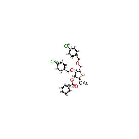 CC(=O)OC1S[C@H](COCc2ccc(Cl)cc2)[C@@H](OCc2ccc(Cl)cc2)[C@@H]1OC(=O)c1ccccc1